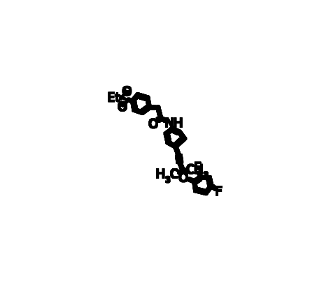 CCS(=O)(=O)c1ccc(CC(=O)Nc2ccc(C#CC(C)(C)Oc3ccc(F)cc3F)cc2)cc1